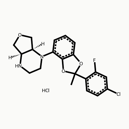 CC1(c2ccc(Cl)cc2F)Oc2cccc(N3CCN[C@H]4COC[C@H]43)c2O1.Cl